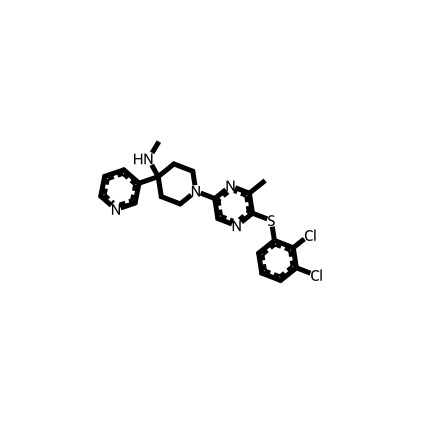 CNC1(c2cccnc2)CCN(c2cnc(Sc3cccc(Cl)c3Cl)c(C)n2)CC1